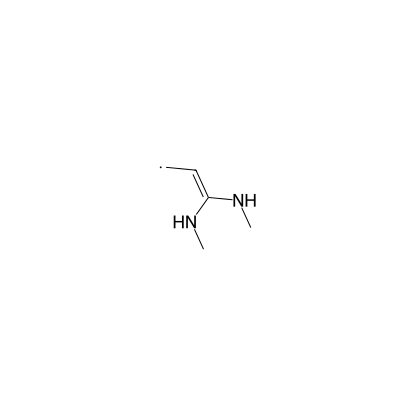 [CH2]C=C(NC)NC